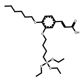 CCCCCCOc1ccc(/C=C/C(=O)O)cc1OCCCC[Si](OCC)(OCC)OCC